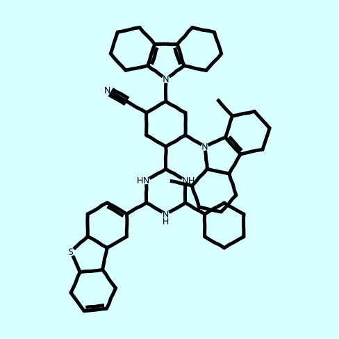 CC1CCCC2=C1N(C1CC(n3c4c(c5c3CCCC5)CCCC4)C(C#N)CC1C1NC(C3=CCC4SC5CC=CCC5C4C3)NC(C3CCCCC3)N1)C1C(C)CCCC21